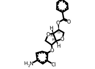 Nc1ccc(OC2CO[C@@H]3[C@@H](OC(=O)c4ccccc4)CO[C@H]23)c(Cl)c1